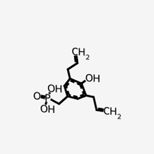 C=CCc1cc(CP(=O)(O)O)cc(CC=C)c1O